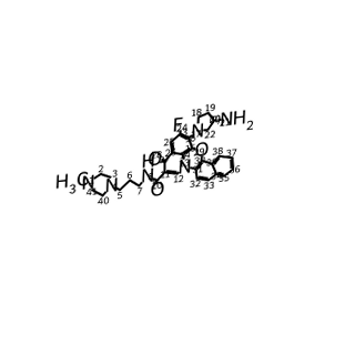 CN1CCN(CCCNC(=O)c2cn3c4c(c(N5CC[C@@H](N)C5)c(F)cc4c2=O)Oc2c-3ccc3ccccc23)CC1